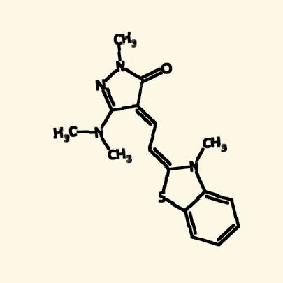 CN(C)C1=NN(C)C(=O)/C1=C/C=C1/Sc2ccccc2N1C